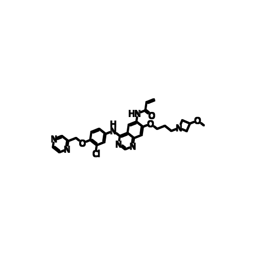 C=CC(=O)Nc1cc2c(Nc3ccc(OCc4cnccn4)c(Cl)c3)ncnc2cc1OCCCN1CC(OC)C1